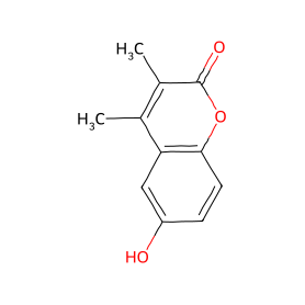 Cc1c(C)c2cc(O)ccc2oc1=O